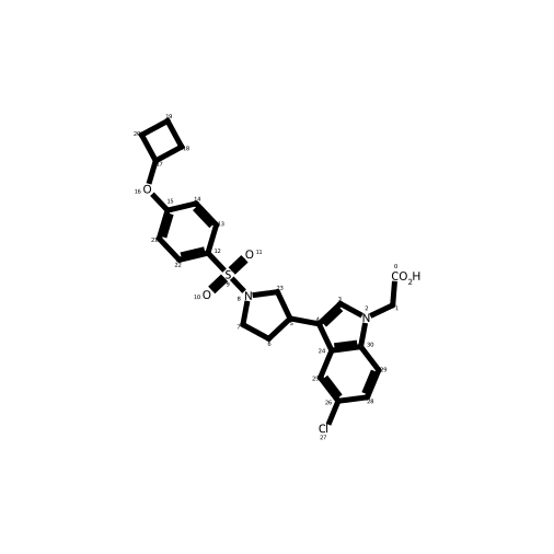 O=C(O)Cn1cc(C2CCN(S(=O)(=O)c3ccc(OC4CCC4)cc3)C2)c2cc(Cl)ccc21